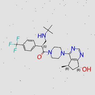 C[C@@H]1C[C@@H](O)c2ncnc(N3CCN(C(=O)[C@H](CNC(C)(C)C)c4ccc(C(F)(F)F)cc4)CC3)c21